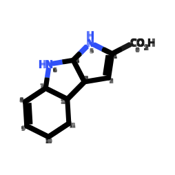 O=C(O)C1=CC2C(N1)NC1C=CCCC12